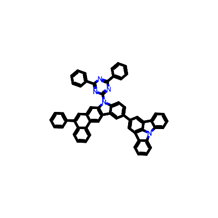 c1ccc(-c2nc(-c3ccccc3)nc(-n3c4ccc(-c5cc6c7ccccc7n7c8ccccc8c(c5)c67)cc4c4cc5c(cc(-c6ccccc6)c6ccccc65)cc43)n2)cc1